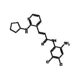 Nc1cc(Cl)c(Cl)cc1NC(=O)/C=C/c1cccnc1NC1CCCC1